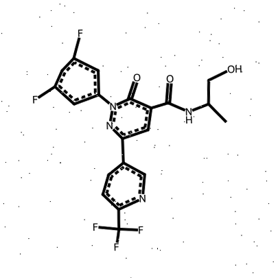 CC(CO)NC(=O)c1cc(-c2ccc(C(F)(F)F)nc2)nn(-c2cc(F)cc(F)c2)c1=O